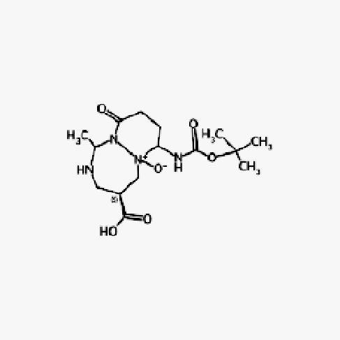 CC1NC[C@H](C(=O)O)C[N+]2([O-])C(NC(=O)OC(C)(C)C)CCC(=O)N12